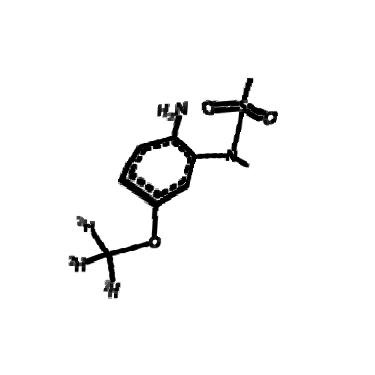 [2H]C([2H])([2H])Oc1ccc(N)c(N(C)S(C)(=O)=O)c1